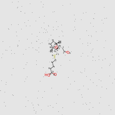 O=CC[C@@H]1[C@H](CSCCCCC(=O)O)[C@@H]2CC[C@H]1O2